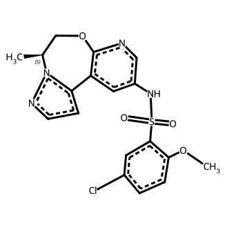 COc1ccc(Cl)cc1S(=O)(=O)Nc1cnc2c(c1)-c1ccnn1[C@@H](C)CO2